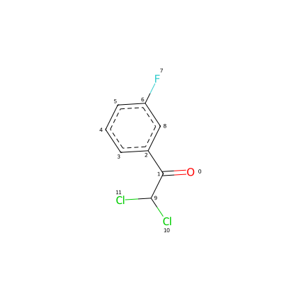 O=C(c1cccc(F)c1)C(Cl)Cl